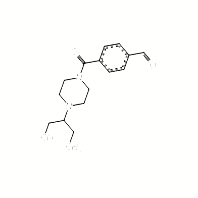 CCC(CC)N1CCN(C(=O)c2ccc(C=O)cc2)CC1